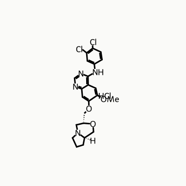 COc1cc2c(Nc3ccc(Cl)c(Cl)c3)ncnc2cc1OC[C@H]1CN2CCC[C@@H]2CO1.Cl